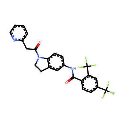 O=C(Nc1ccc2c(c1)CCN2C(=O)Cc1ccccn1)c1ccc(C(F)(F)F)cc1C(F)(F)F